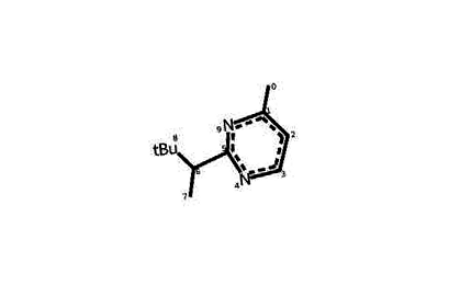 Cc1ccnc(C(C)C(C)(C)C)n1